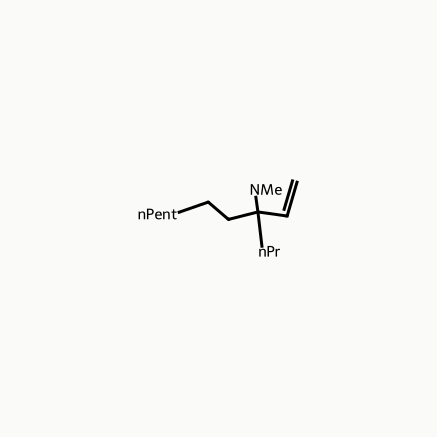 C=CC(CCC)(CCCCCCC)NC